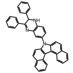 c1ccc(C2=Nc3cc(-n4c5ccc6ccccc6c5c5c6ccccc6ccc54)ccc3NC2c2ccccc2)cc1